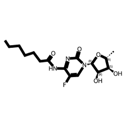 CCCCCCC(=O)Nc1nc(=O)n([C@@H]2O[C@H](C)[C@@H](O)[C@H]2O)cc1F